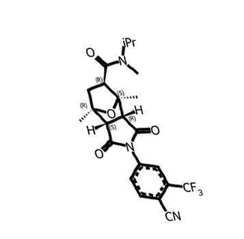 CC(C)N(C)C(=O)[C@@H]1C[C@@]2(C)O[C@]1(C)[C@@H]1C(=O)N(c3ccc(C#N)c(C(F)(F)F)c3)C(=O)[C@@H]12